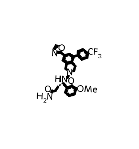 COc1cccc([C@H](CCC(N)=O)NC(=O)N2CCc3c(cc(-c4ncco4)cc3-c3ccc(C(F)(F)F)cc3)C2)c1